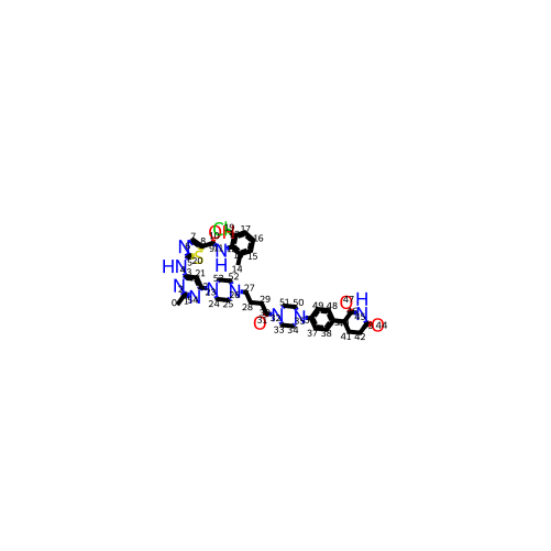 Cc1nc(Nc2ncc(C(O)Nc3c(C)cccc3Cl)s2)cc(N2CCN(CCCC(=O)N3CCN(c4ccc(C5CCC(=O)NC5=O)cc4)CC3)CC2)n1